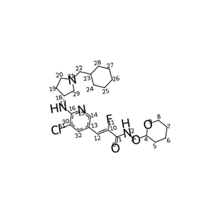 O=C(NOC1CCCCO1)C(F)=Cc1cnc(N[C@@H]2CCN(CC3CCCCC3)C2)c(Cl)c1